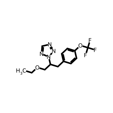 CCOCC(Cc1ccc(OC(F)(F)F)cc1)n1ncnn1